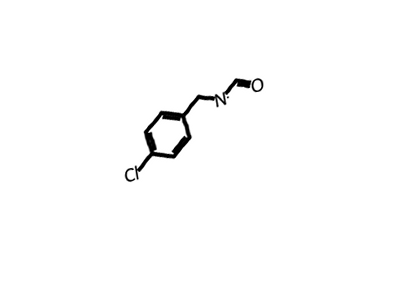 O=C[N]Cc1ccc(Cl)cc1